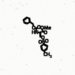 COC(=O)/C(=C\OS(=O)(=O)c1ccc(C)cc1)NC(=O)OCc1ccccc1